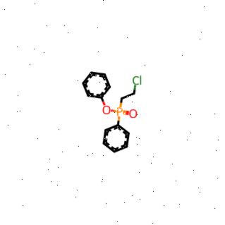 O=P(CCCl)(Oc1ccccc1)c1ccccc1